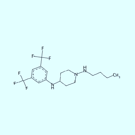 CCCCNN1CCC(Nc2cc(C(F)(F)F)cc(C(F)(F)F)c2)CC1